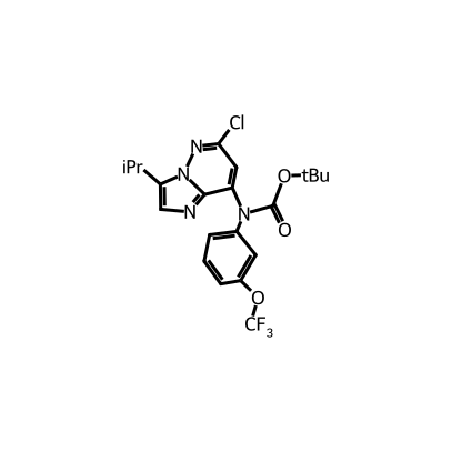 CC(C)c1cnc2c(N(C(=O)OC(C)(C)C)c3cccc(OC(F)(F)F)c3)cc(Cl)nn12